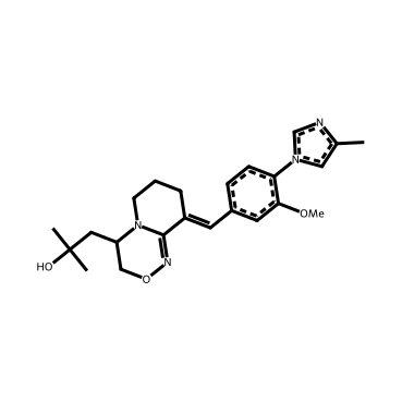 COc1cc(/C=C2\CCCN3C2=NOCC3CC(C)(C)O)ccc1-n1cnc(C)c1